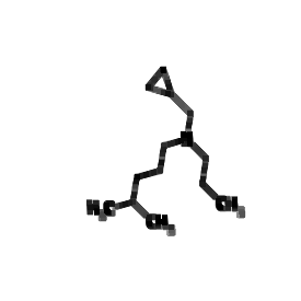 CCCN(CCCC(C)C)CC1CC1